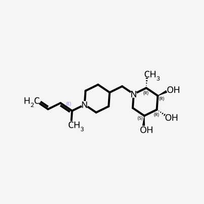 C=C/C=C(\C)N1CCC(CN2C[C@H](O)[C@@H](O)[C@H](O)[C@H]2C)CC1